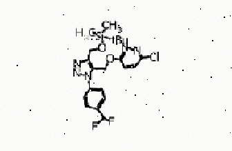 CC(C)(C)[Si](C)(C)OCc1nnn(-c2ccc(C(F)F)cc2)c1COc1ccc(Cl)nn1